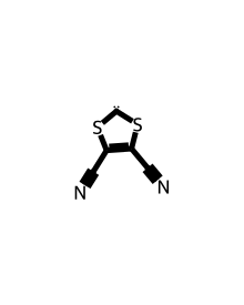 N#CC1=C(C#N)S[C]S1